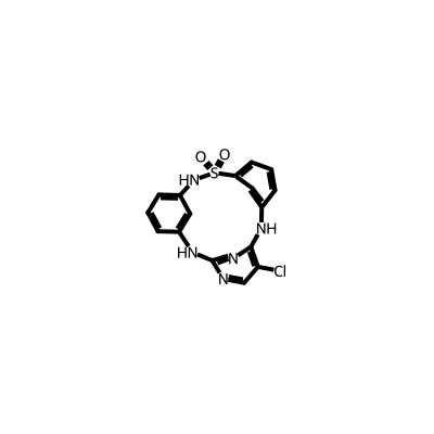 O=S1(=O)Nc2cccc(c2)Nc2ncc(Cl)c(n2)Nc2cccc1c2